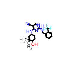 CC1(C)C[C@H](Nc2nc(NCc3ccccc3C(F)(F)F)ncc2C#N)CC[C@@H]1O